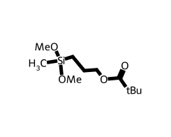 CO[Si](C)(CCCOC(=O)C(C)(C)C)OC